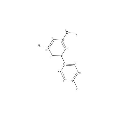 COC1=CC(c2ccc(C)cc2)CC(C)=C1